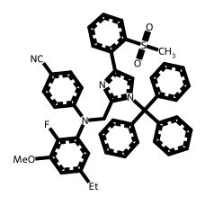 CCc1cc(OC)c(F)c(N(Cc2nc(-c3ccccc3S(C)(=O)=O)cn2C(c2ccccc2)(c2ccccc2)c2ccccc2)c2ccc(C#N)cc2)c1